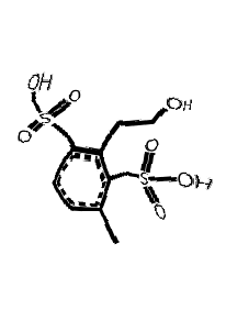 Cc1ccc(S(=O)(=O)O)c(CCO)c1S(=O)(=O)O